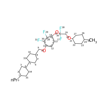 CCCC1CCC(C2CCC(COc3ccc(OC(F)(F)COC4CCC(C)CC4)c(F)c3F)CC2)CC1